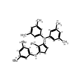 Cc1cc(C)cc([SiH](C2=CC[C]([Ti][c]3cc(C(C)(C)C)cc(C(C)(C)C)c3)=C2C(C)C)c2cc(C)cc(C)c2)c1